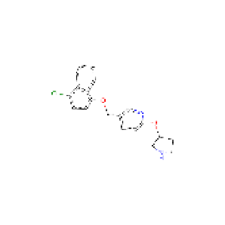 Clc1ccc(OCc2ccc(OC3CCNC3)nc2)c2ccccc12